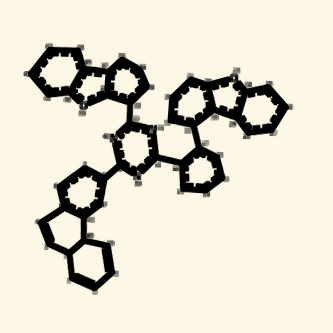 C1=CC2C=Cc3ccc(-c4nc(-c5ccccc5-c5cccc6oc7ccccc7c56)nc(-c5cccc6c5oc5ccccc56)n4)cc3C2C=C1